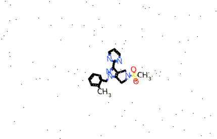 Cc1ccccc1Cn1nc(-c2ncccn2)c2c1CCN(S(C)(=O)=O)C2